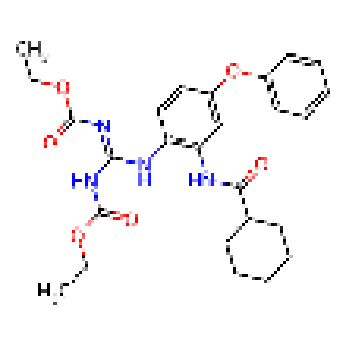 CCOC(=O)N=C(NC(=O)OCC)Nc1ccc(Oc2ccccc2)cc1NC(=O)C1CCCCC1